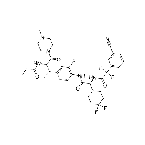 CCC(=O)N[C@@H](C(=O)N1CCN(C)CC1)[C@@H](C)c1ccc(NC(=O)[C@@H](NC(=O)C(F)(F)c2cccc(C#N)c2)C2CCC(F)(F)CC2)c(F)c1